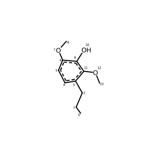 CCCc1ccc(OC)c(O)c1OC